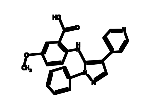 COc1ccc(Nc2c(-c3ccncc3)cnn2-c2ccccc2)c(C(=O)O)c1